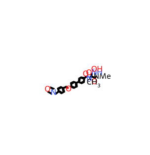 CNC(=O)C(C(=O)NO)N(C)C(=O)c1ccc(-c2ccc(OCc3ccc(CN4CCOCC4)cc3)cc2)cc1